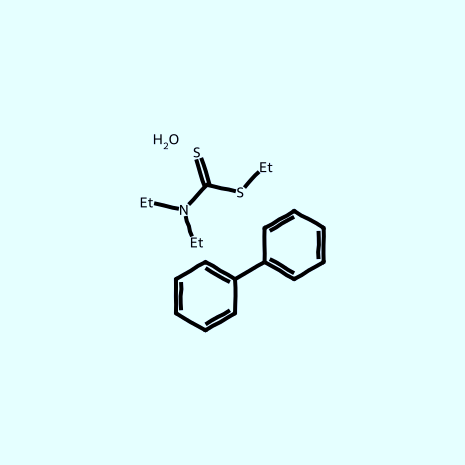 CCSC(=S)N(CC)CC.O.c1ccc(-c2ccccc2)cc1